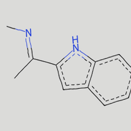 C/N=C(\C)c1cc2ccccc2[nH]1